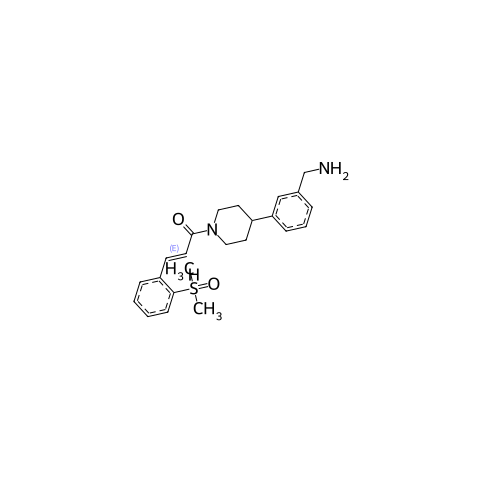 C[SH](C)(=O)c1ccccc1/C=C/C(=O)N1CCC(c2cccc(CN)c2)CC1